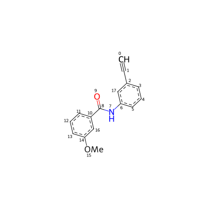 C#Cc1cccc(NC(=O)c2cccc(OC)c2)c1